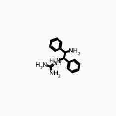 N=C(N)N.NC(c1ccccc1)C(N)c1ccccc1